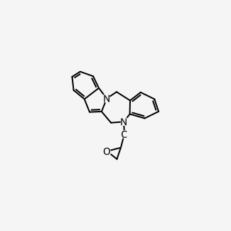 c1ccc2c(c1)Cn1c(cc3ccccc31)CN2CC1CO1